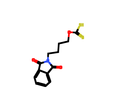 O=C1c2ccccc2C(=O)N1CCCCOC(=S)S